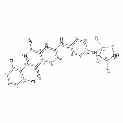 CCc1nn(-c2c(Cl)cccc2Cl)c(=O)c2cnc(Nc3ccc(N4C[C@H]5C[C@@H]4CN5)cc3)nc12